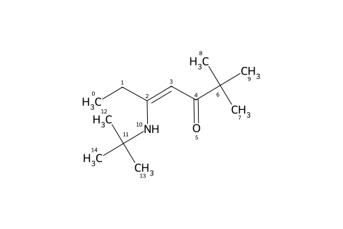 CCC(=CC(=O)C(C)(C)C)NC(C)(C)C